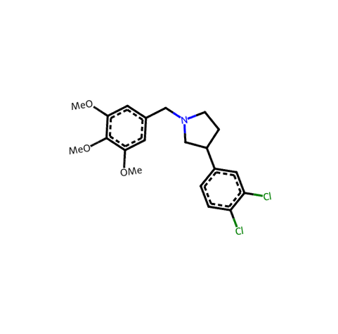 COc1cc(CN2CCC(c3ccc(Cl)c(Cl)c3)C2)cc(OC)c1OC